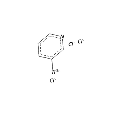 [Cl-].[Cl-].[Cl-].[Ti+3][c]1cccnc1